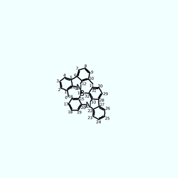 Cc1cccc2c3cccc(C)c3n(B3c4ccccc4-n4c5ccccc5c5cccc3c54)c12